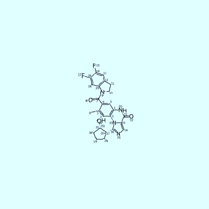 Cc1cc2c(cc1C(=O)N1CCc3cc(F)c(F)cc31)[nH]c(=O)c1cnc([C@@H]3CCC[C@@H]3O)n12